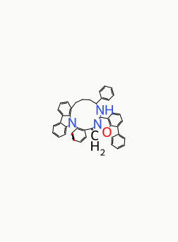 C=C1/N=C(/c2cccc3c2oc2ccccc23)NC(c2ccccc2)CCCc2cccc3c4ccccc4n(c23)-c2c1ccc1ccccc21